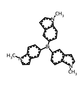 Cn1ccc2c[c]([Bi]([c]3ccc4c(ccn4C)c3)[c]3ccc4c(ccn4C)c3)ccc21